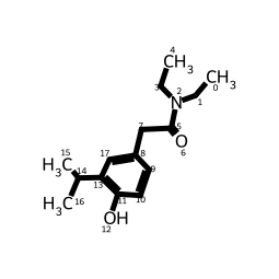 CCN(CC)C(=O)Cc1ccc(O)c(C(C)C)c1